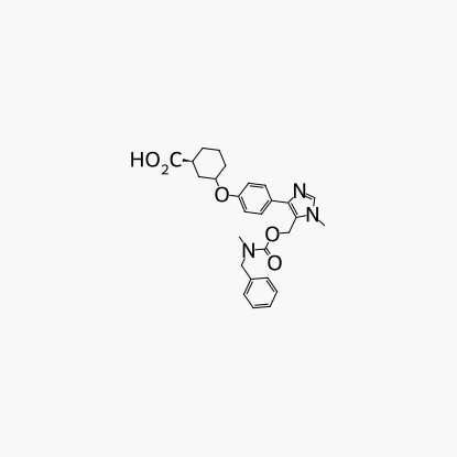 CN(Cc1ccccc1)C(=O)OCc1c(-c2ccc(OC3CCC[C@H](C(=O)O)C3)cc2)ncn1C